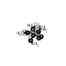 Cc1cccc(-c2cc3c4c(c2)N(c2cccc5ccccc25)c2ccc(C(C)(C)C)cc2B4c2cc(C(C)(C)C)ccc2N3c2ccc(C(C)(C)C)cc2)c1